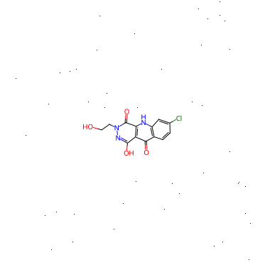 O=c1c2ccc(Cl)cc2[nH]c2c(=O)n(CCO)nc(O)c12